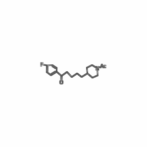 CC(=O)N1CCC(CCCCC(=O)c2ccc(F)cc2)CC1